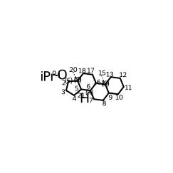 CC(C)O[C@H]1CCC2[C@@H]3CCC4CCCC[C@]4(C)C3CC[C@@]21C